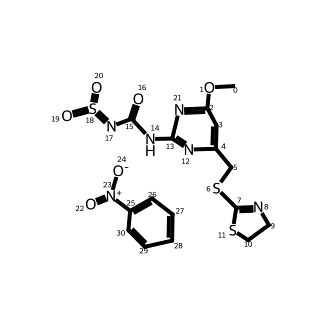 COc1cc(CSC2=NCCS2)nc(NC(=O)N=S(=O)=O)n1.O=[N+]([O-])c1ccccc1